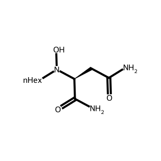 CCCCCCN(O)[C@@H](CC(N)=O)C(N)=O